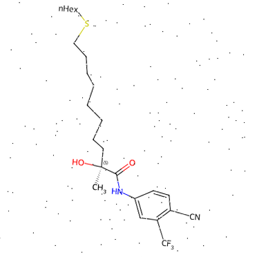 CCCCCCSCCCCCCCC[C@](C)(O)C(=O)Nc1ccc(C#N)c(C(F)(F)F)c1